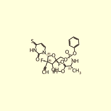 C#C[C@@]1(F)C(O)[C@@](F)(COP(=O)(N[C@@H](C)C(=O)OC(C)C)Oc2ccccc2)O[C@H]1n1ccc(=S)[nH]c1=O